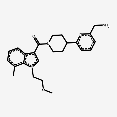 COCCn1cc(C(=O)N2CCC(c3cccc(CN)n3)CC2)c2cccc(C)c21